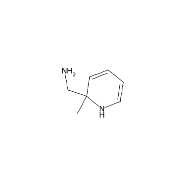 CC1(CN)C=CC=CN1